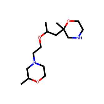 CC1CN(CCOC(C)CC2(C)CNCCO2)CCO1